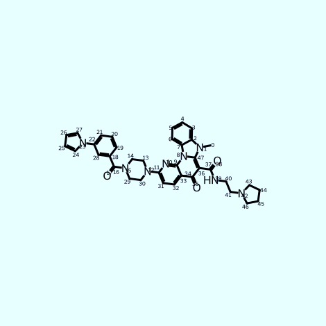 Cn1c2ccccc2n2c3nc(N4CCN(C(=O)c5cccc(-n6cccc6)c5)CC4)ccc3c(=O)c(C(=O)NCCN3CCCC3)c12